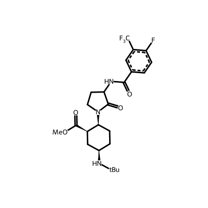 COC(=O)[C@@H]1C[C@H](NC(C)(C)C)CC[C@@H]1N1CCC(NC(=O)c2ccc(F)c(C(F)(F)F)c2)C1=O